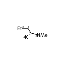 CCCC[N-]C.[K+]